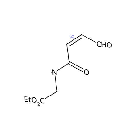 CCOC(=O)C[N]C(=O)/C=C\C=O